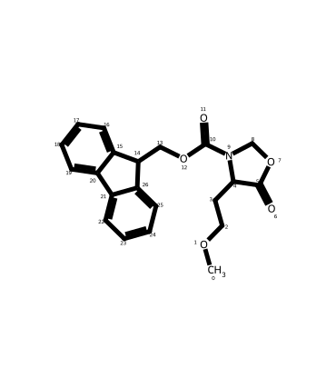 COCCC1C(=O)OCN1C(=O)OCC1c2ccccc2-c2ccccc21